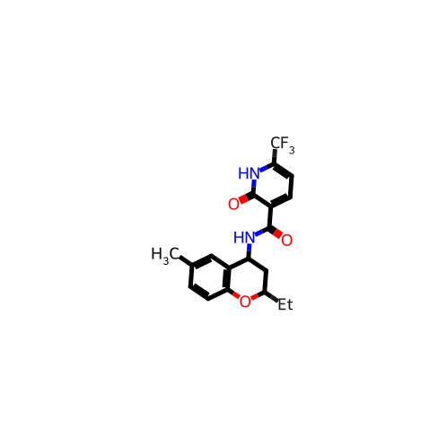 CCC1CC(NC(=O)c2ccc(C(F)(F)F)[nH]c2=O)c2cc(C)ccc2O1